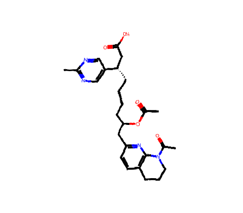 CC(=O)OC(CCCC[C@@H](CC(=O)O)c1cnc(C)nc1)Cc1ccc2c(n1)N(C(C)=O)CCC2